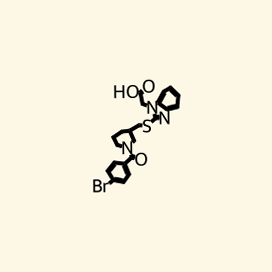 O=C(O)Cn1c(SCC2CCCN(C(=O)c3ccc(Br)cc3)C2)nc2ccccc21